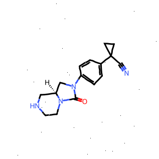 N#CC1(c2ccc(N3C[C@@H]4CNCCN4C3=O)cc2)CC1